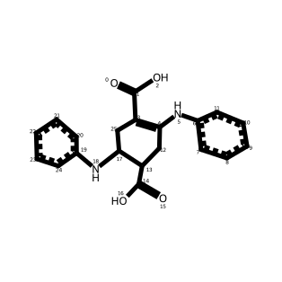 O=C(O)C1=C(Nc2ccccc2)CC(C(=O)O)C(Nc2ccccc2)C1